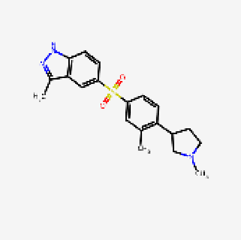 Cc1cc(S(=O)(=O)c2ccc3[nH]nc(C)c3c2)ccc1C1CCN(C)C1